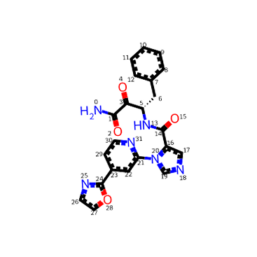 NC(=O)C(=O)[C@H](Cc1ccccc1)NC(=O)c1cncn1-c1cc(-c2ncco2)ccn1